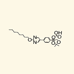 CCCCCCCCOc1ncc(-c2ccc([C@@]3(OC(=O)O)COC(C)(C)O3)cc2)cn1